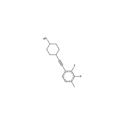 CCCC1CCC(C#Cc2ccc(C)c(F)c2F)CC1